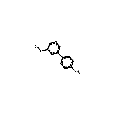 CCOc1cncc(-c2ccc(N)nc2)c1